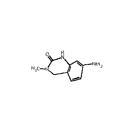 CN1Cc2ccc(N)cc2NC1=O